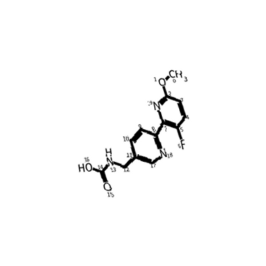 COc1ccc(F)c(-c2ccc(CNC(=O)O)cn2)n1